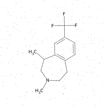 CC1CN(C)CCc2ccc(C(F)(F)F)cc21